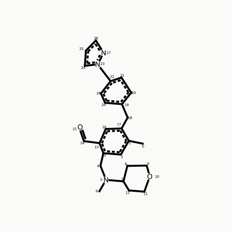 Cc1cc(CN(C)C2CCOCC2)c(C=O)cc1Cc1ccc(-n2cccn2)cc1